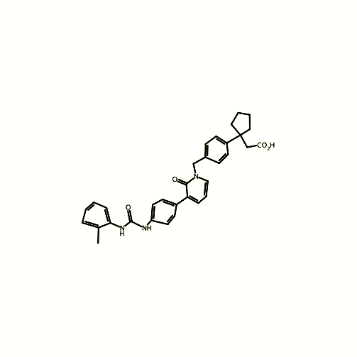 Cc1ccccc1NC(=O)Nc1ccc(-c2cccn(Cc3ccc(C4(CC(=O)O)CCCC4)cc3)c2=O)cc1